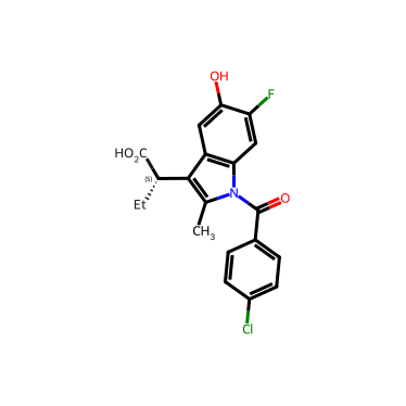 CC[C@H](C(=O)O)c1c(C)n(C(=O)c2ccc(Cl)cc2)c2cc(F)c(O)cc12